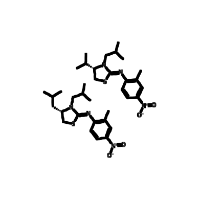 Cc1cc([N+](=O)[O-])ccc1/N=C1\SC[C@H](C(C)C)N1CC(C)C.Cc1cc([N+](=O)[O-])ccc1/N=C1\SC[C@H](CC(C)C)N1CC(C)C